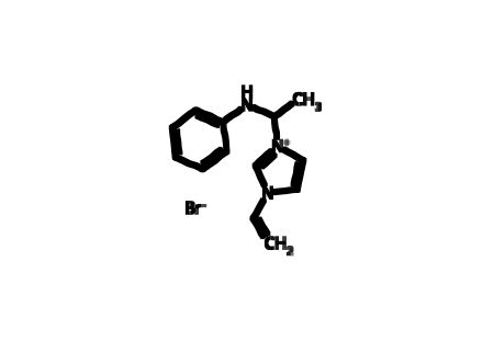 C=Cn1cc[n+](C(C)Nc2ccccc2)c1.[Br-]